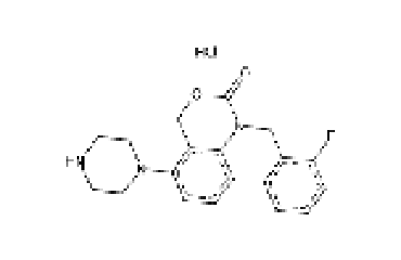 Cl.O=C1OCc2c(N3CCNCC3)cccc2N1Cc1ccccc1F